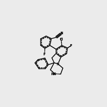 N#Cc1cccc(F)c1-c1c(Cl)c(F)cc2c1CC1(c3ccccc3)CNCCN21